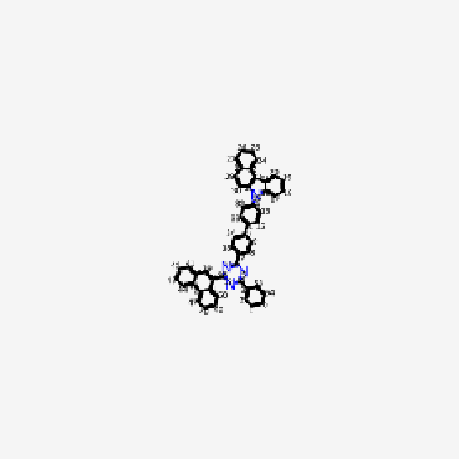 c1ccc(-c2nc(-c3ccc(-c4ccc(-n5c6ccccc6c6c7ccccc7ccc65)cc4)cc3)nc(-c3cc4ccccc4c4ccccc34)n2)cc1